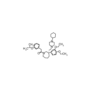 CCOc1ccc([C@@]2(CCN3CCN(C4CCCCC4)CC3)CCCCN(C(=O)Cc3cccc(OC(C)C)c3)C2)cc1OCC